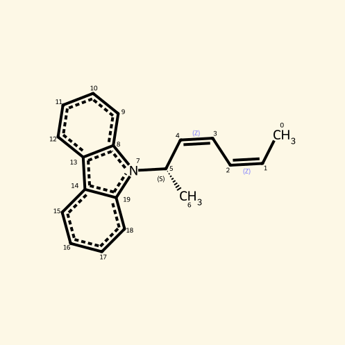 C/C=C\C=C/[C@H](C)n1c2ccccc2c2ccccc21